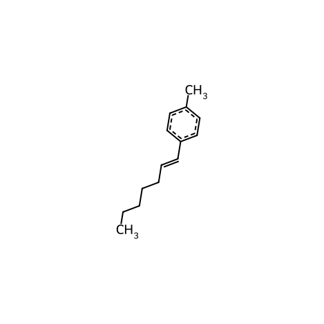 CCCCCC=Cc1ccc(C)cc1